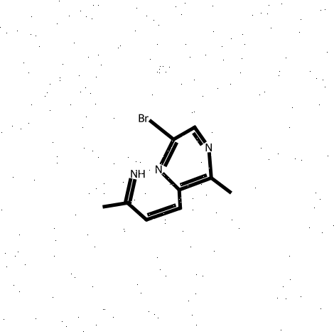 CC(=N)/C=C\c1nc(Br)cnc1C